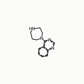 c1ccc2c(N3CCCNCC3)ncnc2c1